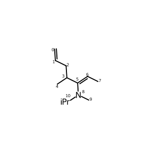 C=CCC(C)/C(=C/C)N(C)C(C)C